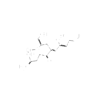 C=C(O)CCC(=O)/C(=C/C(=C/COCC)OCC)C/C(=C\C)OCC